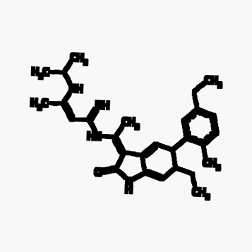 CCc1ccc(C)c(C2C=C3C(=CC2CC)NC(=O)/C3=C(/C)NC(=N)/C=C(/C)NC(C)C)c1